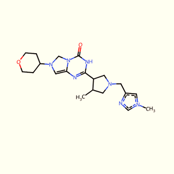 CC1CN(Cc2cn(C)cn2)CC1C1=NC2=CN(C3CCOCC3)CN2C(=O)N1